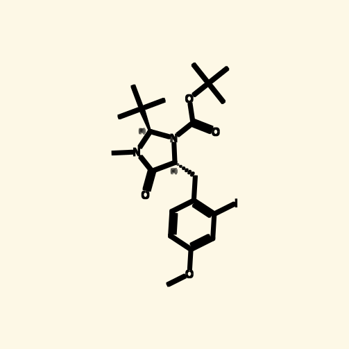 COc1ccc(C[C@@H]2C(=O)N(C)[C@@H](C(C)(C)C)N2C(=O)OC(C)(C)C)c(I)c1